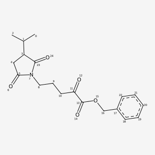 CC(C)C1CC(=O)N(CCCC(=O)C(=O)OCc2ccccc2)C1=O